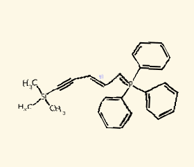 C[Si](C)(C)C#C/C=C/C=P(c1ccccc1)(c1ccccc1)c1ccccc1